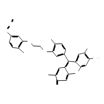 Cc1ccc(N=C=S)cc1OCCOc1cc(-c2c3cc(F)c(=O)cc-3oc3cc(O)c(F)cc23)ccc1C